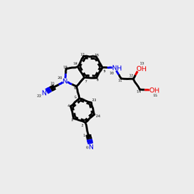 N#Cc1ccc(C2c3cc(NCC(O)CO)ccc3CN2C#N)cc1